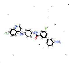 Nc1cccc(-c2cc(F)cc(C(=O)NC3CCC(Nc4ccnc5cc(Cl)ccc45)CC3)c2)c1